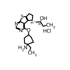 CC[C@@H](O)C[C@H]1CCc2sc3ncnc(OC4CCC(N)(CC)CC4)c3c21.Cl